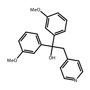 COc1cccc(C(O)(Cc2ccncc2)c2cccc(OC)c2)c1